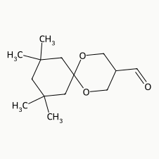 CC1(C)CC(C)(C)CC2(C1)OCC(C=O)CO2